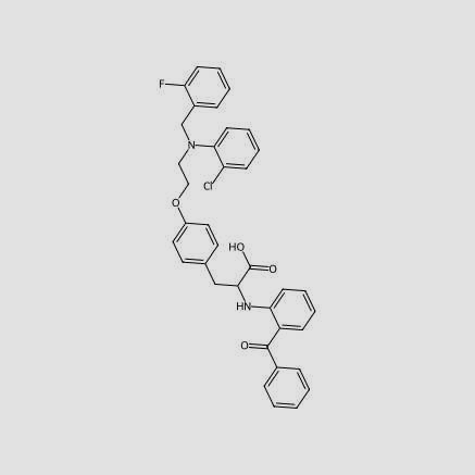 O=C(c1ccccc1)c1ccccc1NC(Cc1ccc(OCCN(Cc2ccccc2F)c2ccccc2Cl)cc1)C(=O)O